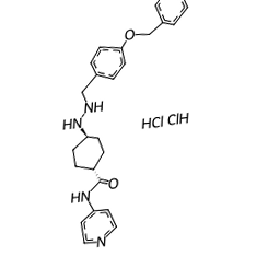 Cl.Cl.O=C(Nc1ccncc1)[C@H]1CC[C@H](NNCc2ccc(OCc3ccccc3)cc2)CC1